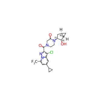 O=C(c1nn2c(C(F)(F)F)cc(C3CC3)cc2c1Cl)N1CCN([C@H]2C[C@H]3C[C@H]3[C@H]2O)C(=O)C1